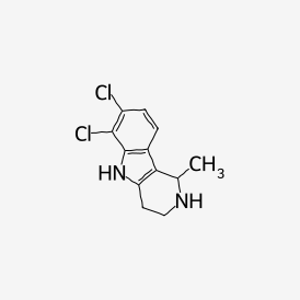 CC1NCCc2[nH]c3c(Cl)c(Cl)ccc3c21